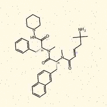 CN(C(=O)/C=C/CC(C)(C)N)[C@H](Cc1ccc2ccccc2c1)C(=O)N(C)[C@H](Cc1ccccc1)C(=O)NN1CCCCC1